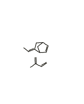 C=CC(=C)C.CC=C1CC2C=CC1C2